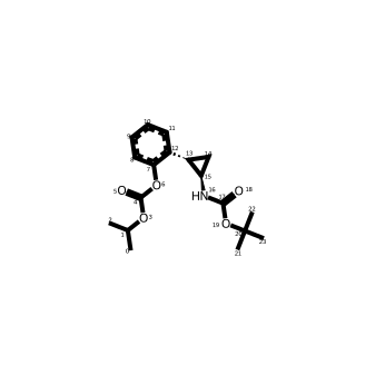 CC(C)OC(=O)Oc1ccccc1[C@@H]1C[C@H]1NC(=O)OC(C)(C)C